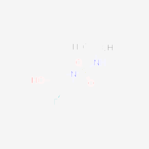 CC(C)NS(=O)(=O)N1C[C@@H](O)[C@H](F)C1